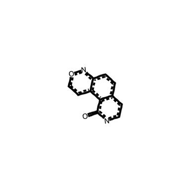 O=c1nccc2ccc3noccc3c12